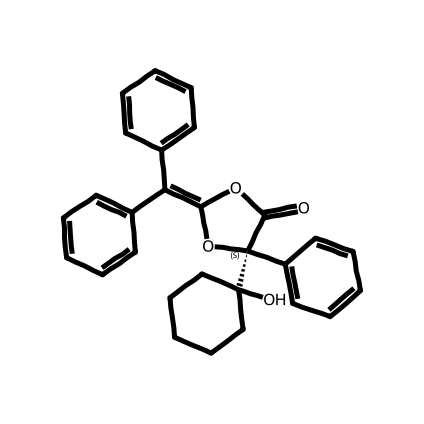 O=C1OC(=C(c2ccccc2)c2ccccc2)O[C@@]1(c1ccccc1)C1(O)CCCCC1